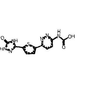 O=C(O)Nc1ccc(-c2ccc(-c3n[nH]c(=O)[nH]3)s2)nn1